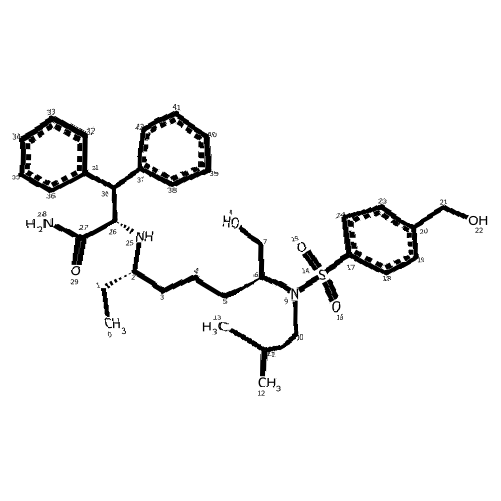 CC[C@@H](CCC[C@@H](CO)N(CC(C)C)S(=O)(=O)c1ccc(CO)cc1)N[C@H](C(N)=O)C(c1ccccc1)c1ccccc1